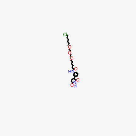 O=C1CCC(c2cccc(NC(=O)CCCCCOCCOCCOCCCCCCCl)c2)C(=O)N1